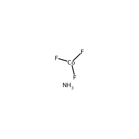 N.[F][Co]([F])[F]